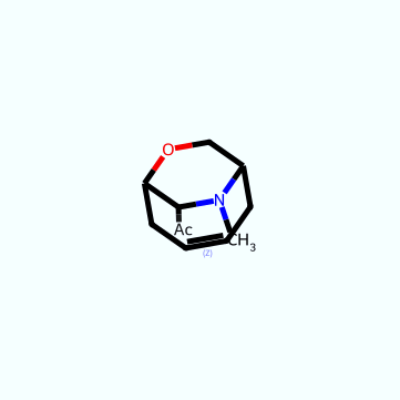 CC(=O)C1C2C/C=C\CC(CO2)N1C